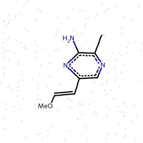 [CH2]c1ncc(C=COC)nc1N